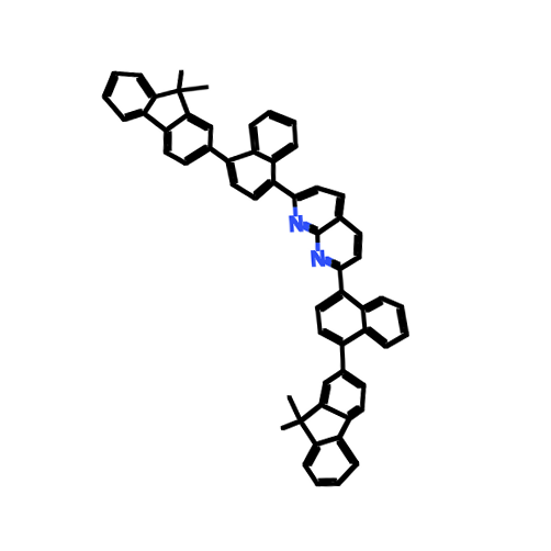 CC1(C)c2ccccc2-c2ccc(-c3ccc(-c4ccc5ccc(-c6ccc(-c7ccc8c(c7)C(C)(C)c7ccccc7-8)c7ccccc67)nc5n4)c4ccccc34)cc21